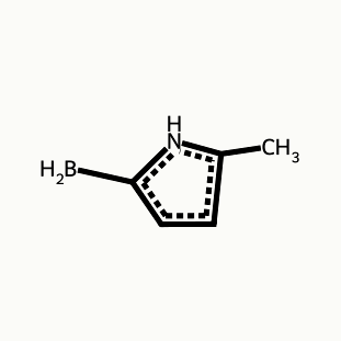 Bc1ccc(C)[nH]1